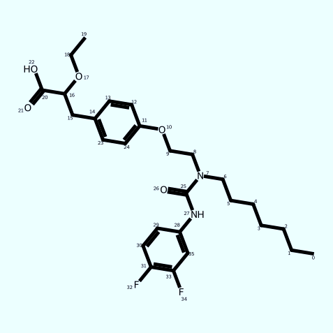 CCCCCCCN(CCOc1ccc(CC(OCC)C(=O)O)cc1)C(=O)Nc1ccc(F)c(F)c1